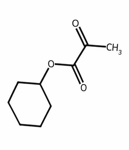 CC(=O)C(=O)OC1CCCCC1